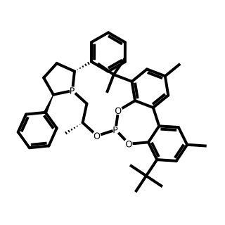 Cc1cc(C(C)(C)C)c2op(O[C@H](C)CP3[C@@H](c4ccccc4)CC[C@@H]3c3ccccc3)oc3c(C(C)(C)C)cc(C)cc3c2c1